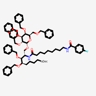 CCCCCCCCCCCCCC[C@@H](OCc1ccccc1)[C@@H](OCc1ccccc1)[C@H](CO[C@H]1O[C@H](COCc2ccccc2)[C@H](OCc2ccccc2)[C@H](OCc2ccccc2)[C@H]1OCc1ccccc1)NC(=O)CCCCCCCCNC(=O)c1ccc(F)cc1